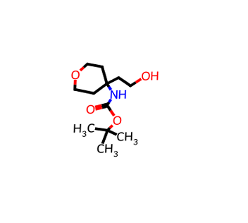 CC(C)(C)OC(=O)NC1(CCO)CCOCC1